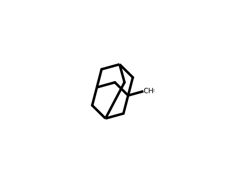 [CH]C12CC3CC(CC(C3)C1)C2